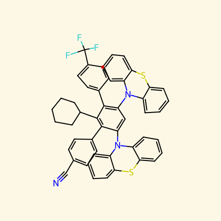 N#Cc1ccc(-c2c(N3c4ccccc4Sc4ccccc43)cc(N3c4ccccc4Sc4ccccc43)c(-c3ccc(C(F)(F)F)cc3)c2C2CCCCC2)cc1